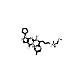 Cc1cnc(C(CCCO[Si](C)(C)CC(C)C)Nc2nc3c(cnn3C3CCCC3)c(=O)[nH]2)nc1